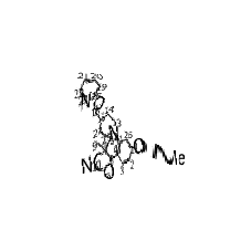 COc1ccc(C(=O)C(C)(C)C#N)c(N2CCC(COc3ccccn3)CC2)c1